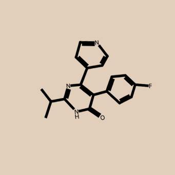 CC(C)c1nc(-c2ccncc2)c(-c2ccc(F)cc2)c(=O)[nH]1